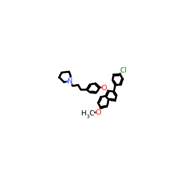 COc1ccc2c(Oc3ccc(CCCN4CCCCC4)cc3)c(-c3ccc(Cl)cc3)ccc2c1